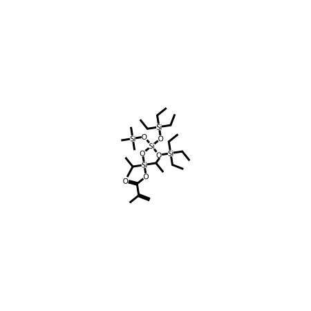 C=C(C)C(=O)O[Si](O[Si](O[Si](C)(C)C)(O[Si](CC)(CC)CC)O[Si](CC)(CC)CC)(C(C)C)C(C)C